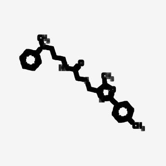 Cc1ccc(-c2nc(CSCC(=O)NCCCN(C)c3ccccc3)c(C)o2)cc1